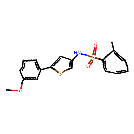 COc1cccc(-c2cc(NS(=O)(=O)c3ccccc3C)cs2)c1